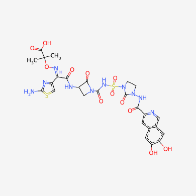 CC(C)(O/N=C(/C(=O)NC1CN(C(=O)NS(=O)(=O)N2CCN(NC(=O)c3cc4cc(O)c(O)cc4cn3)C2=O)C1=O)c1csc(N)n1)C(=O)O